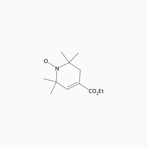 CCOC(=O)C1=CC(C)(C)N([O])C(C)(C)C1